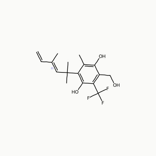 C=C/C(C)=C/C(C)(C)c1c(C)c(O)c(CO)c(C(F)(F)F)c1O